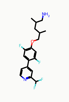 CC(CN)CC(C)COc1cc(F)c(-c2ccnc(C(F)F)c2)cc1F